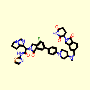 CN(Cc1ccc2c(c1)CN(C1CCC(=O)NC1=O)C2=O)C1CCN(c2ccc(-c3cc(F)c4c(c3)C(=O)N(C(C(=O)Nc3nccs3)c3ncn5c3CCC5)C4)cc2)CC1